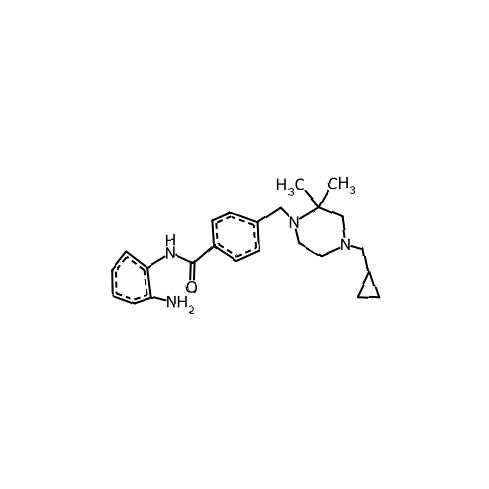 CC1(C)CN(CC2CC2)CCN1Cc1ccc(C(=O)Nc2ccccc2N)cc1